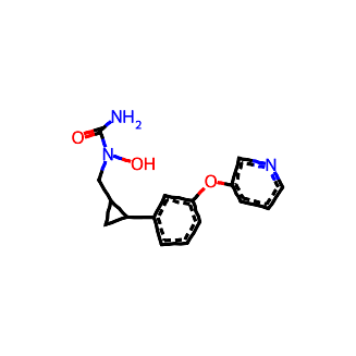 NC(=O)N(O)CC1CC1c1cccc(Oc2cccnc2)c1